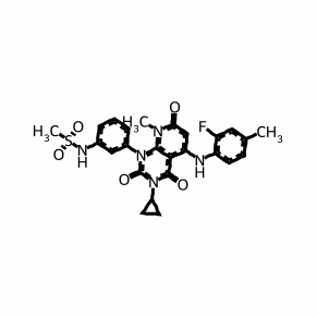 Cc1ccc(Nc2cc(=O)n(C)c3c2c(=O)n(C2CC2)c(=O)n3-c2cccc(NS(C)(=O)=O)c2)c(F)c1